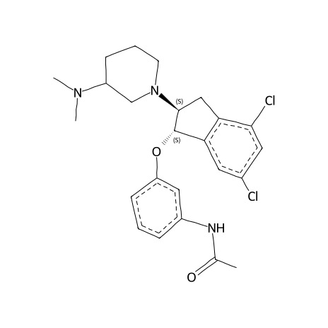 CC(=O)Nc1cccc(O[C@H]2c3cc(Cl)cc(Cl)c3C[C@@H]2N2CCCC(N(C)C)C2)c1